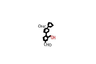 O=Cc1ccc(C2=CCC(C=O)(c3ccccc3)C=C2)c(CO)c1